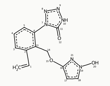 C=Cc1cccc(-n2nn[nH]c2=O)c1COc1ccn(O)n1